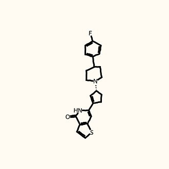 O=c1[nH]c(C2=C[C@H](N3CCC(c4ccc(F)cc4)CC3)CC2)cc2sccc12